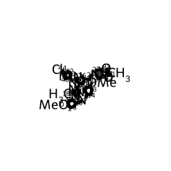 COc1ccc(CN(Cc2ccc(OC)cc2)c2nc(C)nc(-c3cc(CCN4CCN(S(C)(=O)=O)CC4)cnc3Nc3ccc(Cl)nc3)n2)cc1